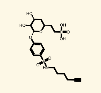 C#CCCCCNS(=O)(=O)c1ccc(O[C@H]2O[C@H](CCP(=O)(O)O)C[C@H](O)[C@@H]2O)cc1